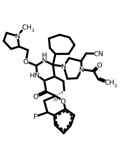 C=CC(=O)N1CCN(C2(C3CCCCCC3)NC(OCC3CCCN3C)NC3C(=O)[C@]4(CCC32)CC(F)c2ccccc2O4)CC1CC#N